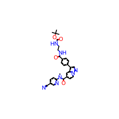 CN(C(=O)c1ccn2ncc(-c3ccc(C(=O)NCCNC(=O)OC(C)(C)C)cc3)c2c1)c1ccc(C#N)cn1